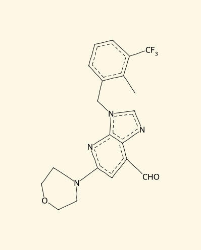 Cc1c(Cn2cnc3c(C=O)cc(N4CCOCC4)nc32)cccc1C(F)(F)F